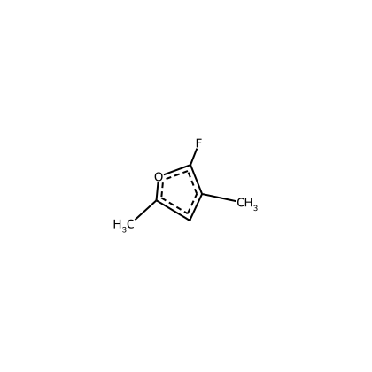 Cc1cc(C)c(F)o1